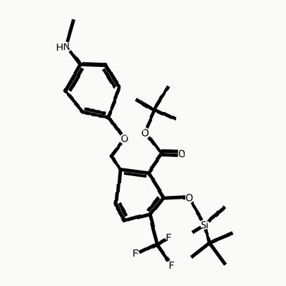 CNc1ccc(OCc2ccc(C(F)(F)F)c(O[Si](C)(C)C(C)(C)C)c2C(=O)OC(C)(C)C)cc1